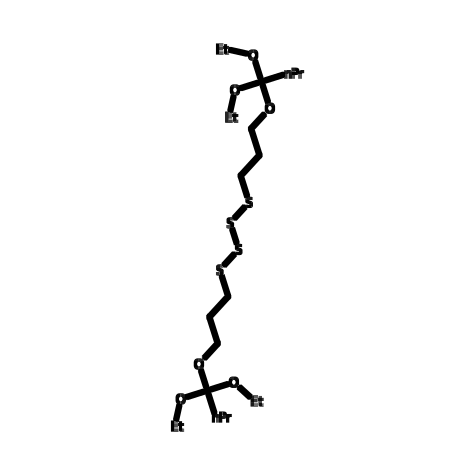 CCCC(OCC)(OCC)OCCCSSSSCCCOC(CCC)(OCC)OCC